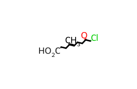 C/C(=C\CCC(=O)CCl)CCC(=O)O